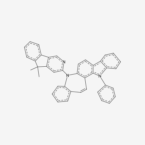 CC1(C)c2ccccc2-c2cnc(N3c4ccccc4C=Cc4c3ccc3c5ccccc5n(-c5ccccc5)c43)cc21